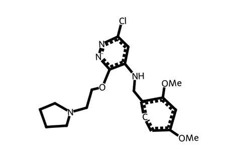 COc1ccc(CNc2cc(Cl)nnc2OCCN2CCCC2)c(OC)c1